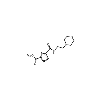 COC(=O)c1ccc(C(=O)NCCN2CCOCC2)s1